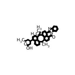 CCCC(CC(=O)O)c1ccc2c3c(cccc13)C(C)c1ccc3c(=O)n4c5ccccc5nc4c4ccc(c1c34)C2(C)CC